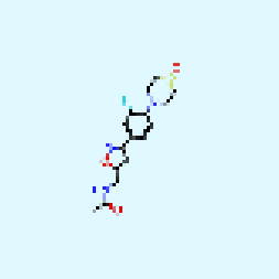 CC(=O)NCC1CC(c2ccc(N3CC[S+]([O-])CC3)c(F)c2)=NO1